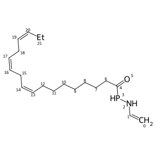 C=CNPC(=O)CCCCCCC/C=C\C/C=C\C/C=C\CC